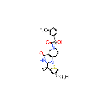 O=C(O)c1csc(C2(c3nc4c(c(=O)[nH]3)CN(C(=O)[C@H](O)c3cccc(C(F)(F)F)c3)CCC4)CC2)c1